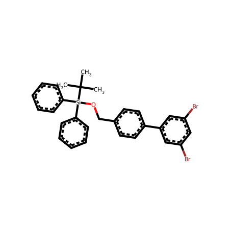 CC(C)(C)[Si](OCc1ccc(-c2cc(Br)cc(Br)c2)cc1)(c1ccccc1)c1ccccc1